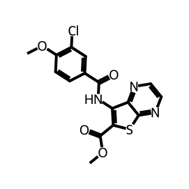 COC(=O)c1sc2nccnc2c1NC(=O)c1ccc(OC)c(Cl)c1